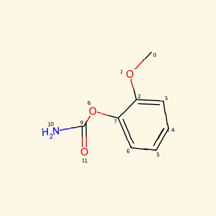 COc1c[c]ccc1OC(N)=O